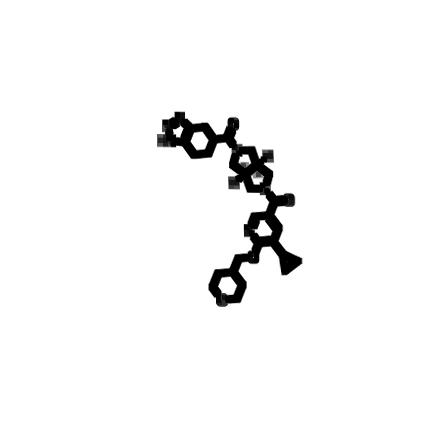 O=C(c1cnc(OCC2CCOCC2)c(C2CC2)c1)N1C[C@@H]2CN(C(=O)C3CCc4[nH]nnc4C3)C[C@H]2C1